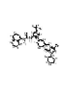 CC(C)(C)c1cc(NC(=O)Nc2cccc3ccccc23)n(-c2cccc(Cn3c(=O)sn(-c4ccccc4)c3=O)c2)n1